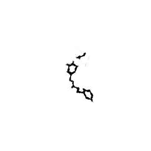 Cc1cc(CCC(=O)c2cc3cc(Cl)ccc3s2)cc(C)c1OC(C)(C)C(=O)O